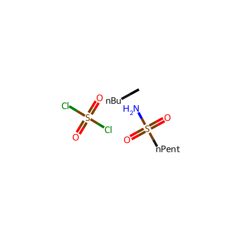 CCCCC.CCCCCS(N)(=O)=O.O=S(=O)(Cl)Cl